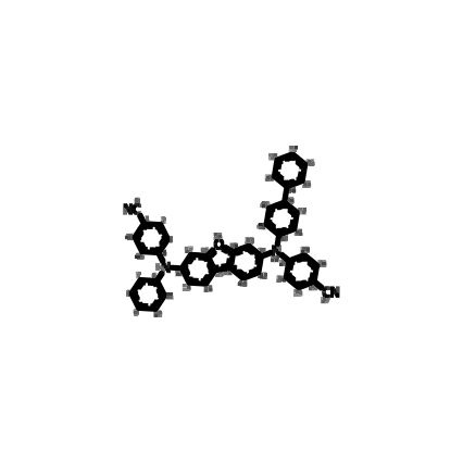 N#Cc1ccc(N(c2ccccc2)c2ccc3c(c2)oc2cc(N(c4ccc(C#N)cc4)c4ccc(-c5ccccc5)cc4)ccc23)cc1